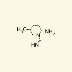 C[C@H]1CCC(N)N(C=N)C1